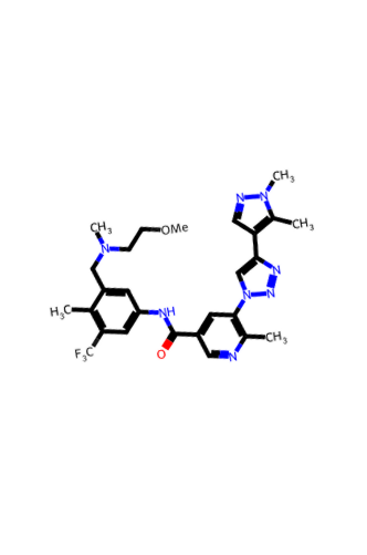 COCCN(C)Cc1cc(NC(=O)c2cnc(C)c(-n3cc(-c4cnn(C)c4C)nn3)c2)cc(C(F)(F)F)c1C